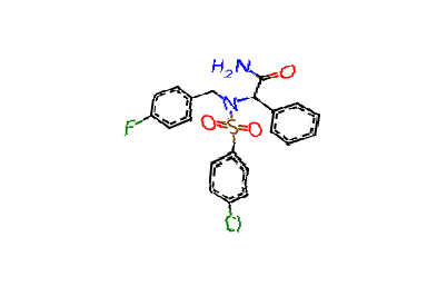 NC(=O)[C@@H](c1ccccc1)N(Cc1ccc(F)cc1)S(=O)(=O)c1ccc(Cl)cc1